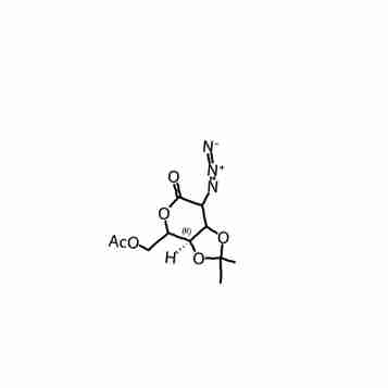 CC(=O)OCC1OC(=O)C(N=[N+]=[N-])C2OC(C)(C)O[C@@H]12